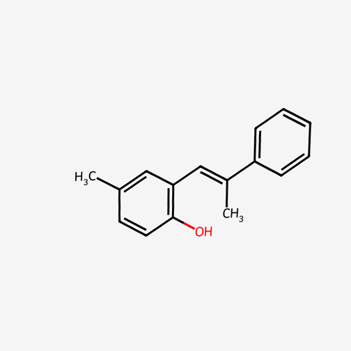 CC(=Cc1cc(C)ccc1O)c1ccccc1